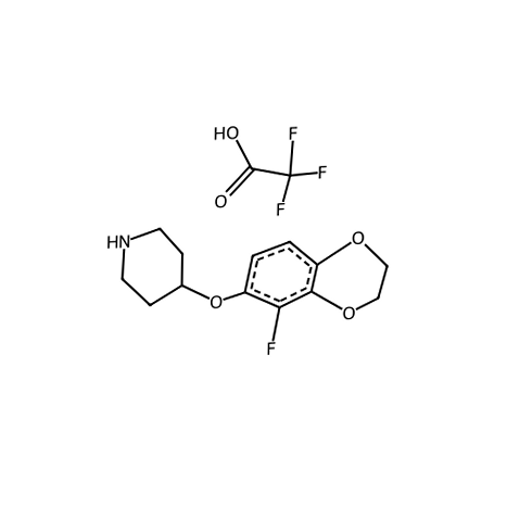 Fc1c(OC2CCNCC2)ccc2c1OCCO2.O=C(O)C(F)(F)F